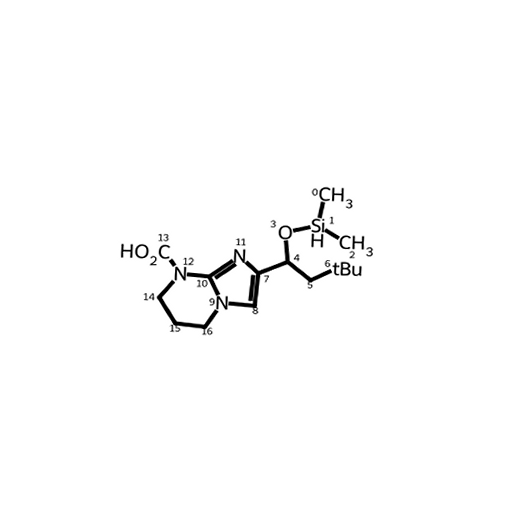 C[SiH](C)OC(CC(C)(C)C)c1cn2c(n1)N(C(=O)O)CCC2